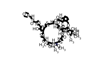 CN[C@@H]1[C@H](C)O[C@@H](O[C@@H]2C(=O)OCc3cccc4[nH]c5c(c34)COC2[C@@H]2NC(=O)c3csc(n3)/C(=C(/C)OC)NC(=O)[C@H]([C@@H](C)O)NC(=O)c3csc(n3)-c3cc(O)c(-c4nc(C(=O)NCCN6CCOCC6)cs4)nc3-c3csc(n3)[C@H](COC5=O)NC(=O)c3csc2n3)C[C@]1(C)O